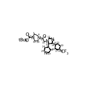 CC(C)(C)OC(=O)N1CCN(C(=O)Cn2cnc(-c3ccc(C(F)(F)F)cc3)c2-c2ccncc2)CC1